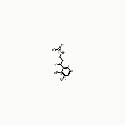 O=[SH](=O)NCCC(F)c1cccc(Br)c1F